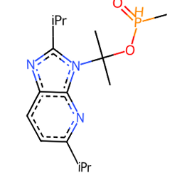 CC(C)c1ccc2nc(C(C)C)n(C(C)(C)O[PH](C)=O)c2n1